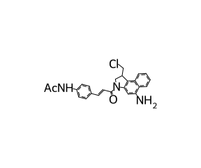 CC(=O)Nc1ccc(/C=C/C(=O)N2CC(CCl)c3c2cc(N)c2ccccc32)cc1